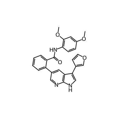 COc1ccc(NC(=O)c2ccccc2-c2cnc3[nH]cc(-c4ccoc4)c3c2)c(OC)c1